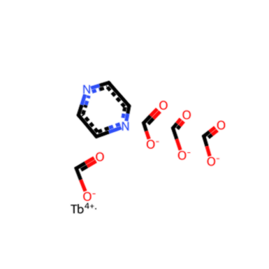 O=C[O-].O=C[O-].O=C[O-].O=C[O-].[Tb+4].c1cnccn1